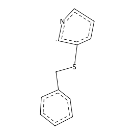 [c]1ncccc1SCc1ccccc1